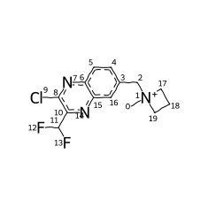 C[N+]1(Cc2ccc3nc(Cl)c(C(F)F)nc3c2)CCC1